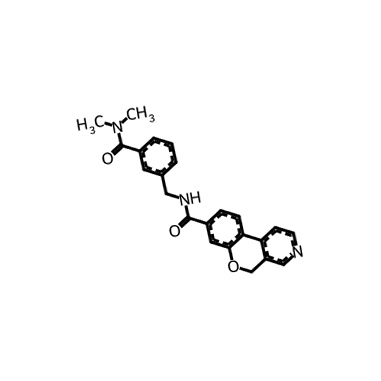 CN(C)C(=O)c1cccc(CNC(=O)c2ccc3c(c2)OCc2cnccc2-3)c1